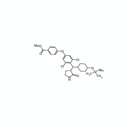 COC(=O)c1ccc(Oc2cc(Cl)c(C(C3CCC(O[Si](C)(C)C(C)(C)C)CC3)C3CCNC3=O)c(Cl)c2)cc1